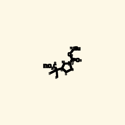 CCOC(=O)C(C)(C)C1CCN(C(=O)OC(C)(C)C)C1